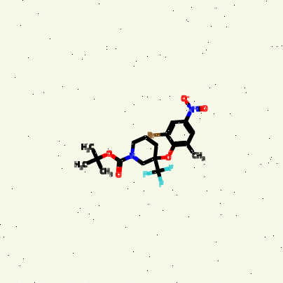 Cc1cc([N+](=O)[O-])cc(Br)c1OC1(C(F)(F)F)CCCN(C(=O)OC(C)(C)C)C1